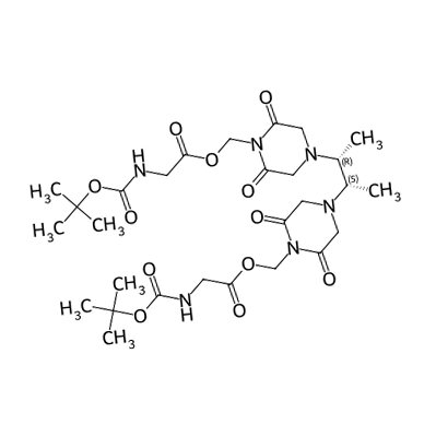 C[C@H]([C@H](C)N1CC(=O)N(COC(=O)CNC(=O)OC(C)(C)C)C(=O)C1)N1CC(=O)N(COC(=O)CNC(=O)OC(C)(C)C)C(=O)C1